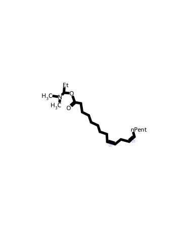 CCCCC/C=C\C/C=C\CCCCCCCC(=O)OC(CC)N(C)C